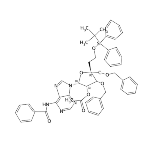 CC(=O)O[C@H]1C(OCc2ccccc2)[C@@](CCO[Si](c2ccccc2)(c2ccccc2)C(C)(C)C)(COCc2ccccc2)O[C@H]1n1cnc2c(NC(=O)c3ccccc3)ncnc21